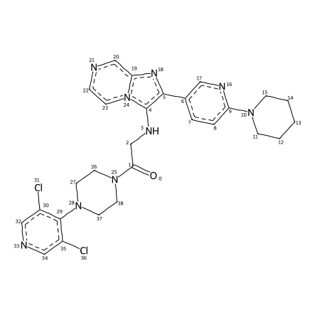 O=C(CNc1c(-c2ccc(N3CCCCC3)nc2)nc2cnccn12)N1CCN(c2c(Cl)cncc2Cl)CC1